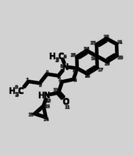 CCCCCN(C)C1(CCC(=O)NC2CC2)C=CC2(C=CCC=C2)C=C1